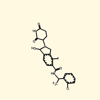 O=C1CCC(N2Cc3c(ccc(C(=O)NC(c4ccccc4Cl)C(F)(F)F)c3F)C2O)C(=O)N1